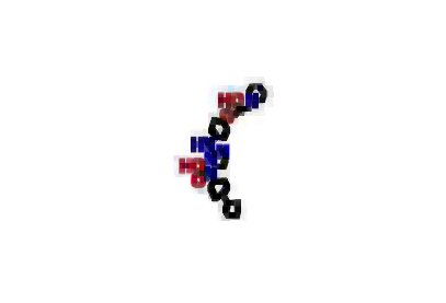 O=C(O)N(c1ccc(-c2ccccc2)cc1)c1ccnc(Nc2ccc(OC[C@H](O)CN3CCCCC3)cc2)n1